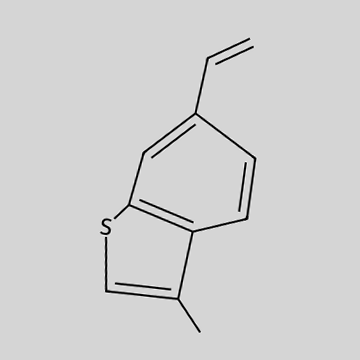 C=Cc1ccc2c(C)csc2c1